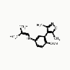 COc1ccc(NC=C(C(=O)O)C(=O)O)cc1-c1c(C)noc1C